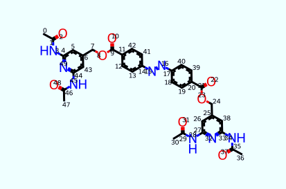 CC(=O)Nc1cc(COC(=O)c2ccc(/N=N/c3ccc(C(=O)OCc4cc(NC(C)=O)nc(NC(C)=O)c4)cc3)cc2)cc(NC(C)=O)n1